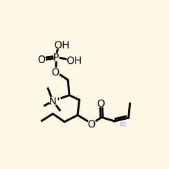 C/C=C\C(=O)OC(CCC)CC(COP(=O)(O)O)[N+](C)(C)C